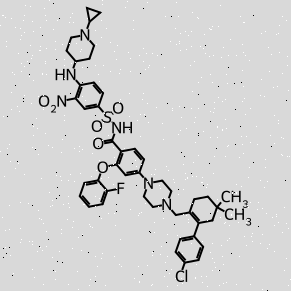 CC1(C)CCC(CN2CCN(c3ccc(C(=O)NS(=O)(=O)c4ccc(NC5CCN(C6CC6)CC5)c([N+](=O)[O-])c4)c(Oc4ccccc4F)c3)CC2)=C(c2ccc(Cl)cc2)C1